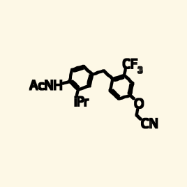 CC(=O)Nc1ccc(Cc2ccc(OCC#N)cc2C(F)(F)F)cc1C(C)C